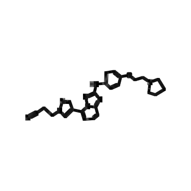 N#CCCn1cc(-c2cccc3nc(Nc4ccc(OCCN5CCCC5)cc4)nn23)cn1